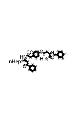 CCCCCCC/C(=C\C(=O)c1ccccc1)N[C@@H](Cc1ccc(OCCc2nc(-c3ccccc3)oc2C)cc1)C(=O)O